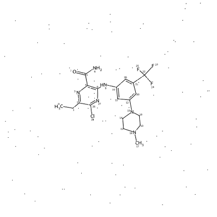 CCc1nc(C(N)=O)c(Nc2cc(N3CCN(C)CC3)cc(C(F)(F)F)c2)nc1Cl